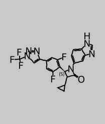 O=C1C(C2CC2)[C@@H](c2c(F)cc(-c3cn(C(F)(F)F)nn3)cc2F)N1c1ccc2[nH]cnc2c1